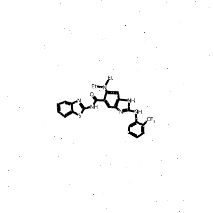 CCN(CC)c1cc2[nH]c(Nc3ccccc3C(F)(F)F)nc2cc1C(=O)Nc1nc2ccccc2s1